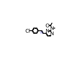 CC(=O)N(C)c1nccc(/C=C/c2ccc(Cl)cc2)n1